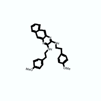 COc1ccc(CCNc2nc3cc4ccccc4cc3nc2NCCc2ccc(OC)cc2)cc1